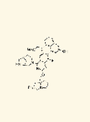 COCCc1cccc2cc(O)cc(-c3c(F)cc4c(N5CCC6CNC(C6)C5)nc(OCC56CCCN5C[C@H](F)C6)nc4c3F)c12